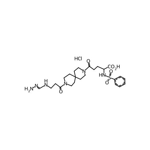 Cl.NN=CNCCC(=O)N1CCC2(CC1)CCN(C(=O)CCC(NS(=O)(=O)c1ccccc1)C(=O)O)CC2